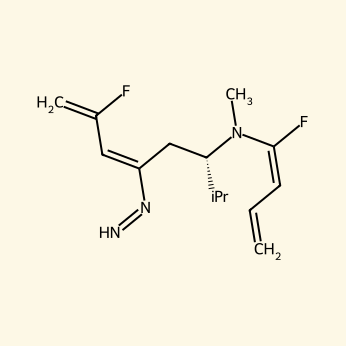 C=C/C=C(/F)N(C)[C@@H](C/C(=C\C(=C)F)N=N)C(C)C